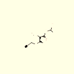 C#CCSc1snc(OC(F)F)c1C#N